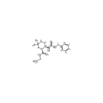 CCOC(=O)[C@H]1CC(F)(F)CC[C@H]1NC(=O)OCc1ccccc1